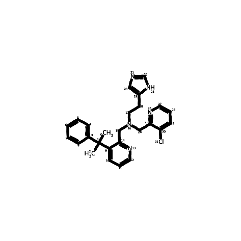 CC(C)(c1ccccc1)c1cccnc1CN(CCc1cnc[nH]1)Cc1ncccc1Cl